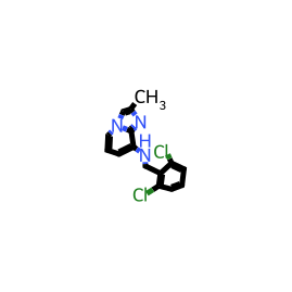 Cc1cn2cccc(NCc3c(Cl)cccc3Cl)c2n1